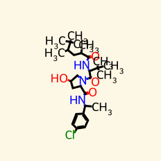 CC(CC(C)C(C)(C)C)C(=O)NC(C(=O)N1CC(O)CC1C(=O)NC(C)c1ccc(Cl)cc1)C(C)(C)C